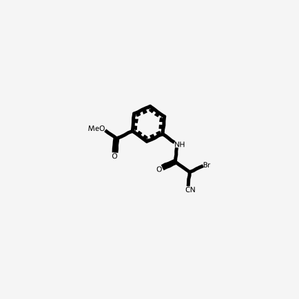 COC(=O)c1cccc(NC(=O)C(Br)C#N)c1